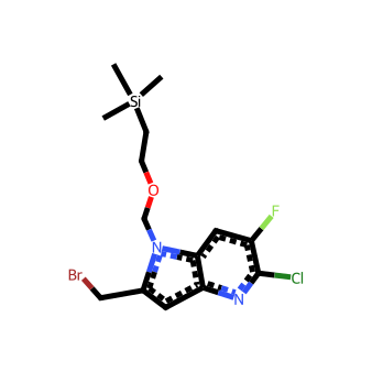 C[Si](C)(C)CCOCn1c(CBr)cc2nc(Cl)c(F)cc21